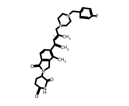 C=C(/C=C(\C)CN1CCN(Cc2ccc(F)cc2)CC1)c1ccc2c(c1C)CN(C1CCC(=O)NC1=O)C2=O